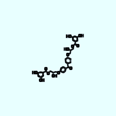 O=C(OCC(O)COc1ccc(C(=O)c2ccc(OCC(O)COC(=O)c3cc(O)cc(O)c3)cc2)cc1)c1cc(O)cc(O)c1